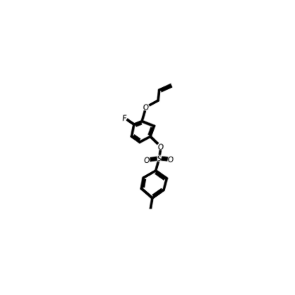 C=CCOc1cc(OS(=O)(=O)c2ccc(C)cc2)ccc1F